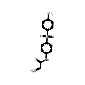 C=CC(=O)Nc1ccc(S(=O)(=O)c2ccc(N)cc2)cc1